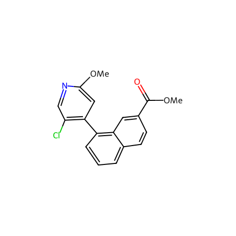 COC(=O)c1ccc2cccc(-c3cc(OC)ncc3Cl)c2c1